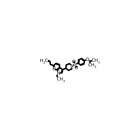 C=CCc1ccc2c(C3CCN(S(=O)(=O)c4ccc(OC(C)C)cc4)CC3)cn(CC)c2n1